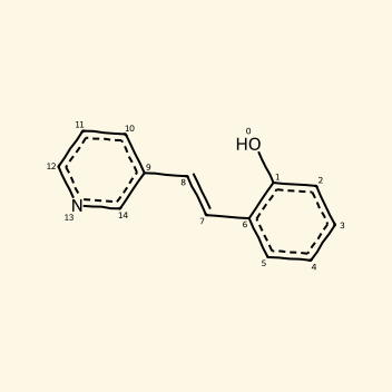 Oc1ccccc1/C=C/c1cccnc1